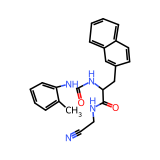 Cc1ccccc1NC(=O)NC(Cc1ccc2ccccc2c1)C(=O)NCC#N